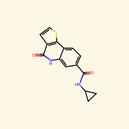 O=C(NC1CC1)c1ccc2c(c1)[nH]c(=O)c1ccsc12